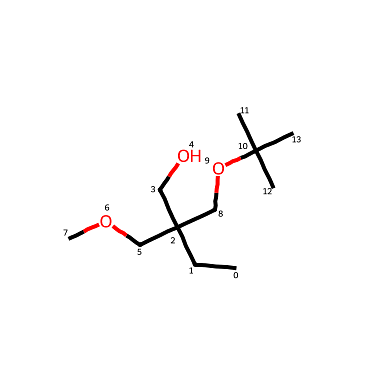 CCC(CO)(COC)COC(C)(C)C